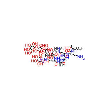 CC(=O)NC1C(NC(=O)C[C@H](NC(=O)[C@H](C)NC(=O)[C@@H](NC(=O)[C@@H](N)CCCCN)C(C)C)C(=O)N[C@@H](CCCCN)C(=O)N[C@H](C(=O)O)C(C)O)OC(CO)C(OC2OC(CO)C(OC3OC(COC4OC(CO)C(O)C(O)C4O)C(O)C(OC4OC(CO)C(O)C(O)C4O)C3O)C(O)C2NC(C)=O)C1O